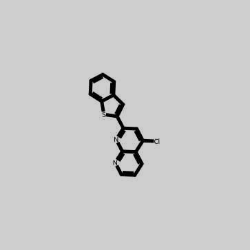 Clc1cc(-c2cc3ccccc3s2)nc2ncccc12